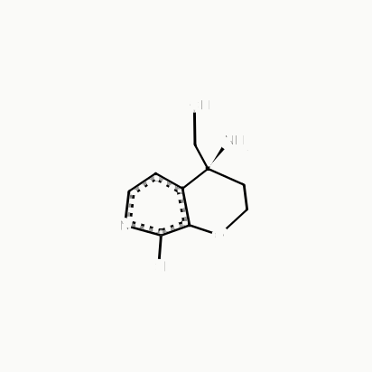 N[C@@]1(CO)CCOc2c1ccnc2Cl